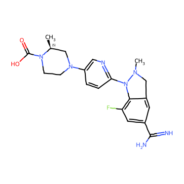 C[C@H]1CN(c2ccc(N3c4c(F)cc(C(=N)N)cc4CN3C)nc2)CCN1C(=O)O